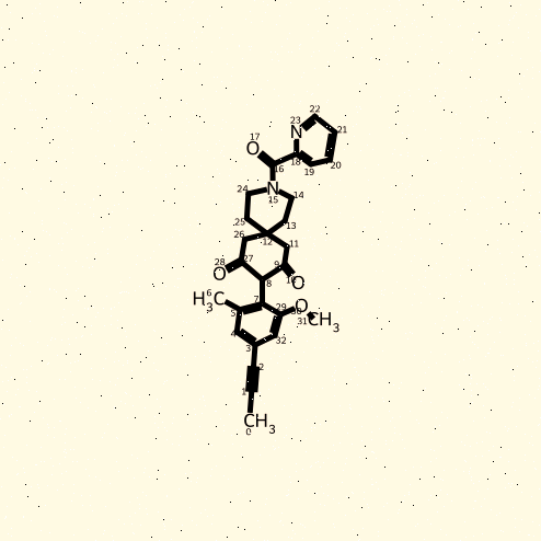 CC#Cc1cc(C)c(C2C(=O)CC3(CCN(C(=O)c4ccccn4)CC3)CC2=O)c(OC)c1